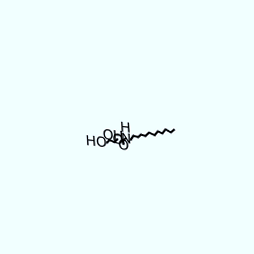 CCCCCCCCCCCCNC(=O)OCC(O)CO